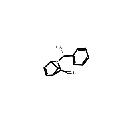 CCOC(=O)C1C2C=CC(C2)N1[C@H](C)c1ccccc1